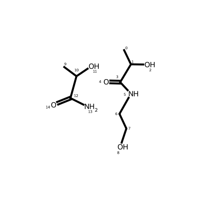 CC(O)C(=O)NCCO.CC(O)C(N)=O